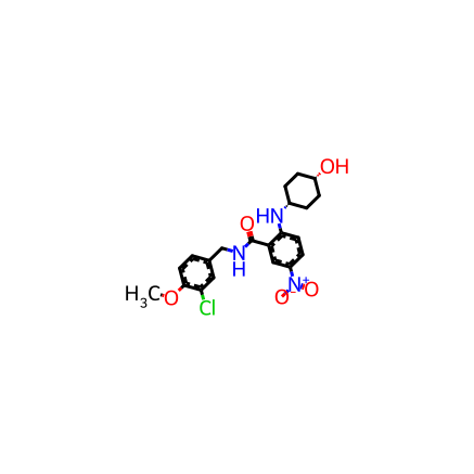 COc1ccc(CNC(=O)c2cc([N+](=O)[O-])ccc2N[C@H]2CC[C@@H](O)CC2)cc1Cl